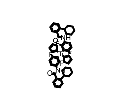 O=C(Nc1ccc(F)[c]([Ti]([C]2=CC=CC2)([C]2=CC=CC2)[c]2c(F)ccc(NC(=O)c3ccccc3C3CCCCC3)c2F)c1F)c1ccccc1C1CCCCC1